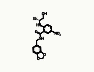 CC[C@H](CO)Nc1ccc([N+](=O)[O-])cc1C(=O)NCc1ccc2c(c1)OCO2